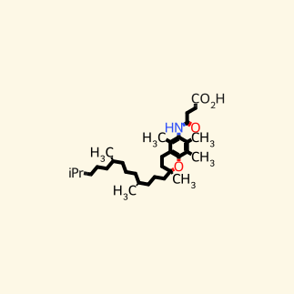 Cc1c(C)c2c(c(C)c1NC(=O)CCC(=O)O)CC[C@@](C)(CCC[C@H](C)CCC[C@H](C)CCCC(C)C)O2